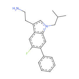 CC(C)Cn1cc(CCN)c2cc(F)c(-c3ccccc3)cc21